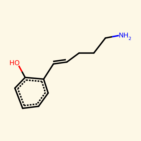 NCCCC=Cc1ccccc1O